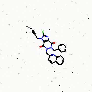 CC#CCn1c(Cl)nc2c(=O)n(Cc3ccccc3)n(Cc3ccc4ccccc4n3)c(=O)c21